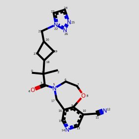 CC(C)(C(=O)N1CCOc2c(C#N)cncc2C1)C1CC(Cn2ccnn2)C1